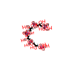 O=P(O)(O)OC[C@@H](O)COP(=O)(O)OC[C@@H](O)COP(=O)(O)OC[C@@H](O)COP(=O)(O)OC[C@@H](O)COP(=O)(O)O